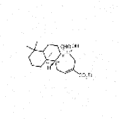 CCOC(=O)C1=CC[C@H]2[C@@](C=O)(CCC3C(C)(C)CCC[C@@]32C)[C@H](O)C1